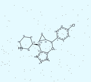 Clc1ccc(C(Oc2nsnc2O[C@@H]2CCCNC2)C2CC2)cc1